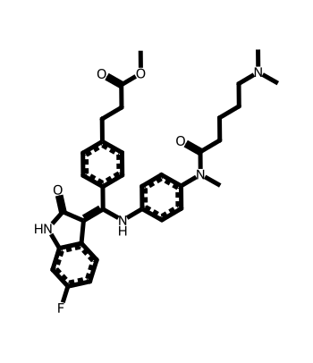 COC(=O)CCc1ccc(C(Nc2ccc(N(C)C(=O)CCCCN(C)C)cc2)=C2C(=O)Nc3cc(F)ccc32)cc1